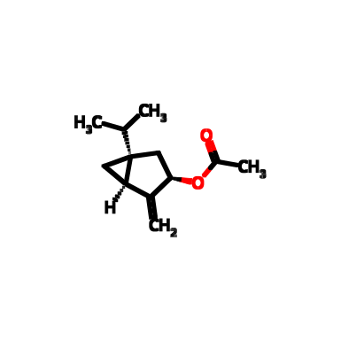 C=C1[C@H]2C[C@@]2(C(C)C)C[C@H]1OC(C)=O